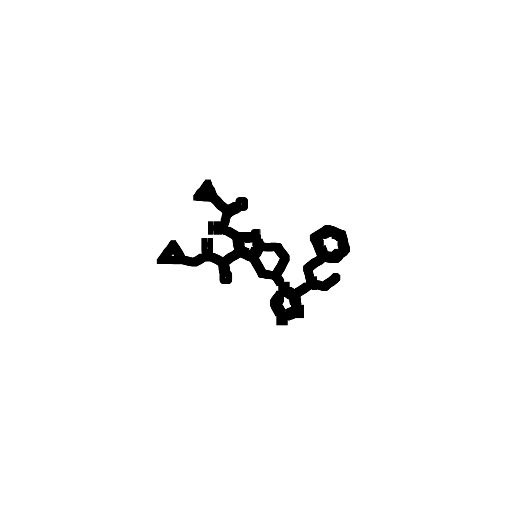 CCN(Cc1ccccc1)c1nncn1C1CCc2sc(NC(=O)C3CC3)c(C(=O)NCC3CC3)c2C1